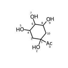 CC(=O)C1(O)CC(O)C(O)C(O)C1